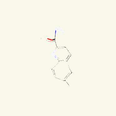 Cc1[c]cc2nc(C(N)=O)ccc2c1